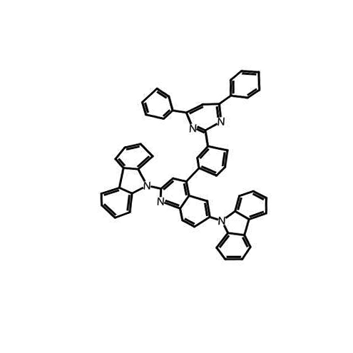 c1ccc(-c2cc(-c3ccccc3)nc(-c3cccc(-c4cc(-n5c6ccccc6c6ccccc65)nc5ccc(-n6c7ccccc7c7ccccc76)cc45)c3)n2)cc1